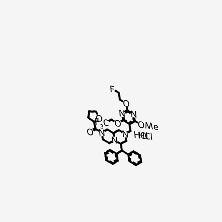 COc1nc(OCCF)nc(OCC(F)(F)F)c1CN1CC2CN(C(=O)C3CCCO3)CCN2C(C(c2ccccc2)c2ccccc2)C1.Cl.Cl